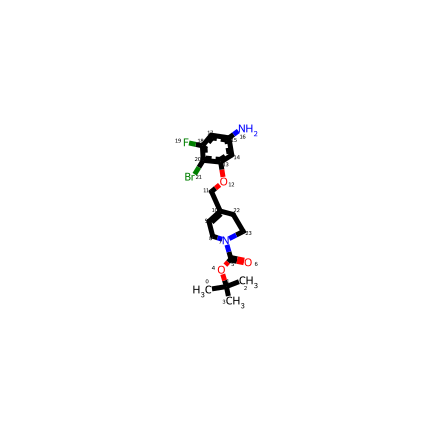 CC(C)(C)OC(=O)N1CC=C(COc2cc(N)cc(F)c2Br)CC1